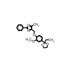 CCC1(c2ccc(OCc3nc(-c4ccccc4)oc3C)c(OC)c2)OCCO1